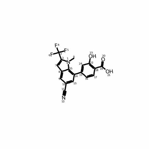 Cn1c(C(F)(F)F)cc2cc(C#N)cc(-c3ccc(C(=O)O)c(O)c3)c21